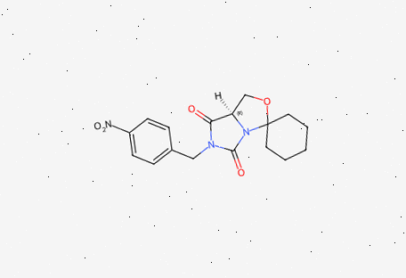 O=C1[C@H]2COC3(CCCCC3)N2C(=O)N1Cc1ccc([N+](=O)[O-])cc1